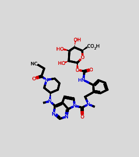 CN(Cc1ccccc1NC(=O)O[C@@H]1O[C@H](C(=O)O)[C@@H](O)[C@H](O)[C@H]1O)C(=O)n1ccc2c(N(C)[C@@H]3CCCN(C(=O)CC#N)C3)ncnc21